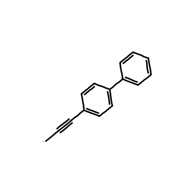 [CH2]C#Cc1ccc(-c2ccccc2)cc1